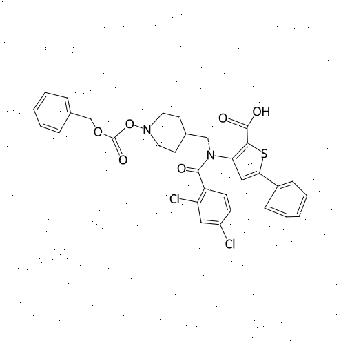 O=C(OCc1ccccc1)ON1CCC(CN(C(=O)c2ccc(Cl)cc2Cl)c2cc(-c3ccccc3)sc2C(=O)O)CC1